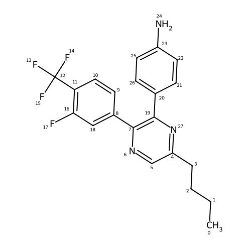 CCCCc1cnc(-c2ccc(C(F)(F)F)c(F)c2)c(-c2ccc(N)cc2)n1